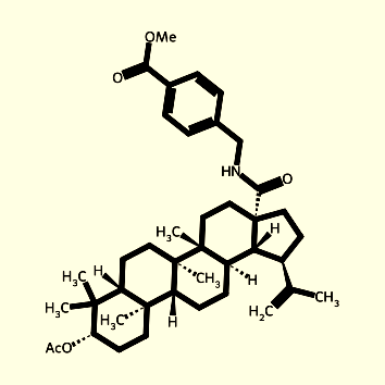 C=C(C)[C@@H]1CC[C@]2(C(=O)NCc3ccc(C(=O)OC)cc3)CC[C@]3(C)[C@H](CC[C@@H]4[C@@]5(C)CC[C@H](OC(C)=O)C(C)(C)[C@@H]5CC[C@]43C)[C@@H]12